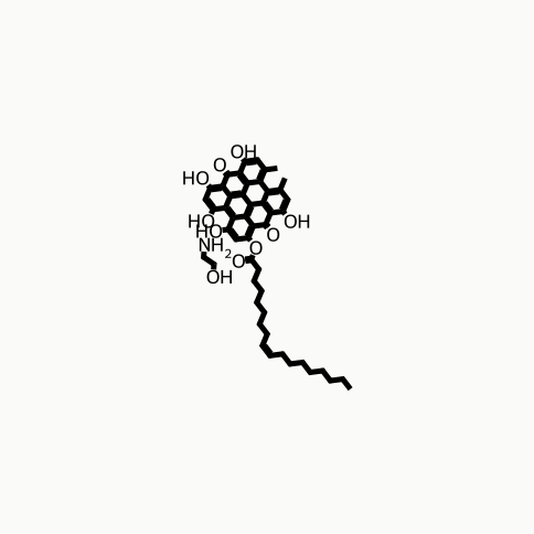 CCCCCCCC/C=C\CCCCCCCC(=O)Oc1cc(O)c2c3c(O)cc(O)c4c(=O)c5c(O)cc(C)c6c7c(C)cc(O)c8c(=O)c1c2c(c87)c(c56)c43.NCCO